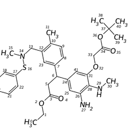 CCOC(=O)CC(c1ccc(C)c(CN(C)Sc2ccccc2)c1)c1cc(N)c(NC)c(OCC(=O)OC(C)(C)C)c1